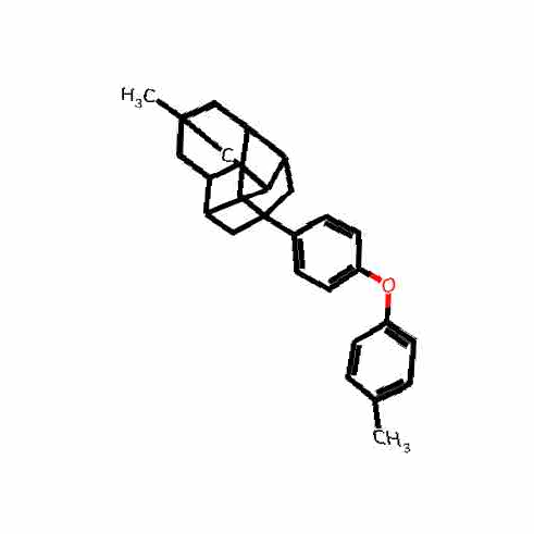 Cc1ccc(Oc2ccc(C34CC5C6CC7(C)CC5C(C3)C(C7)C6C4)cc2)cc1